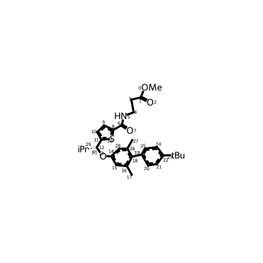 COC(=O)CCNC(=O)c1ccc([C@H](Oc2cc(C)c(-c3ccc(C(C)(C)C)cc3)c(C)c2)C(C)C)s1